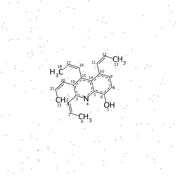 C/C=C\c1nc2c(O)ccc(/C=C\C)c2c(/C=C\C)c1/C=C\C